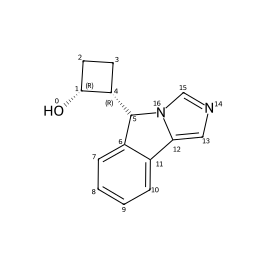 O[C@@H]1CC[C@@H]1C1c2ccccc2-c2cncn21